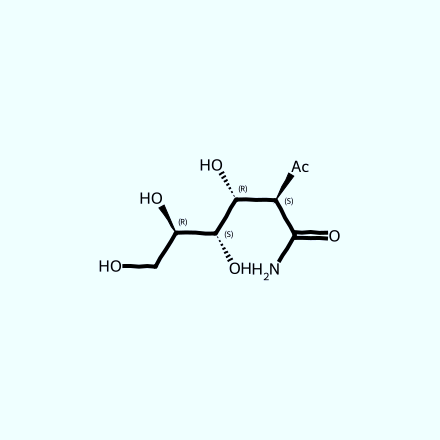 CC(=O)[C@@H](C(N)=O)[C@@H](O)[C@H](O)[C@H](O)CO